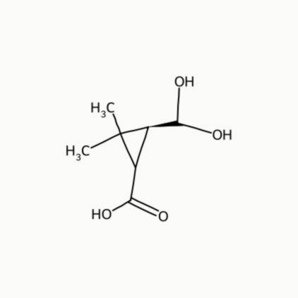 CC1(C)C(C(=O)O)[C@@H]1C(O)O